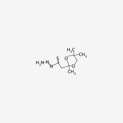 CC1(C)COC(C)(CC(=S)N=NN)OC1